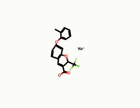 Cc1ccccc1Oc1ccc2c(c1)OC(C(F)(F)F)C(C(=O)[O-])=C2.[Na+]